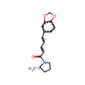 C[C@H]1CCCN1C(=O)/C=C/C=C/c1ccc2c(c1)OCO2